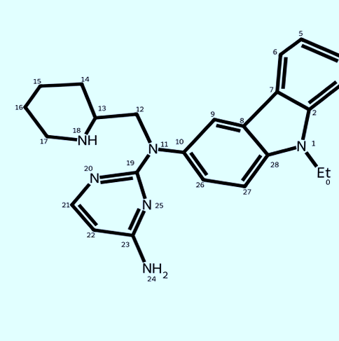 CCn1c2ccccc2c2cc(N(CC3CCCCN3)c3nccc(N)n3)ccc21